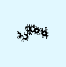 C=CC(=O)N1CC(n2nc(-c3ccc(Oc4ccc(F)cc4F)cc3)c3c(N)ncnc32)CC[C@@H]1C